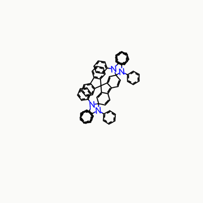 C1=CC(N(c2ccccc2)c2ccccc2)(N(c2ccccc2)c2ccccc2)C=C2C1=C1C=CC(N(c3ccccc3)c3ccccc3)(N(c3ccccc3)c3ccccc3)C=C1C21c2ccccc2-c2ccccc21